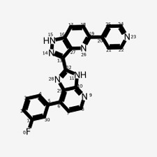 Fc1cccc(-c2ccnc3[nH]c(-c4n[nH]c5ccc(-c6ccncc6)nc45)nc23)c1